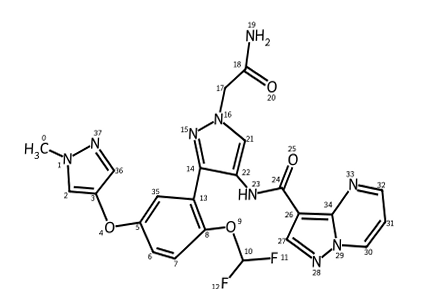 Cn1cc(Oc2ccc(OC(F)F)c(-c3nn(CC(N)=O)cc3NC(=O)c3cnn4cccnc34)c2)cn1